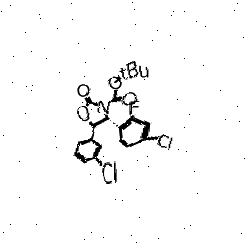 CC(C)(C)OC(=O)N1C(=O)O[C@H](c2cccc(Cl)c2)[C@H]1c1ccc(Cl)cc1F